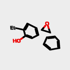 C1CO1.CCc1ccccc1O.c1ccccc1